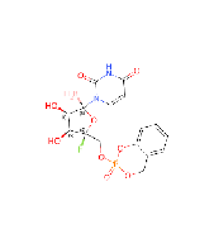 B[C@@]1(n2ccc(=O)[nH]c2=O)O[C@](F)(COP2(=O)OCc3ccccc3O2)[C@@H](O)[C@H]1O